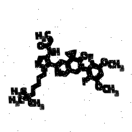 C=CC(=O)Nc1cnn(CCCCC[Si](C)(C)C)c1-c1cc2c(cn1)CN(c1c(F)c(OC)cc(OC)c1F)C(=O)C21CC1